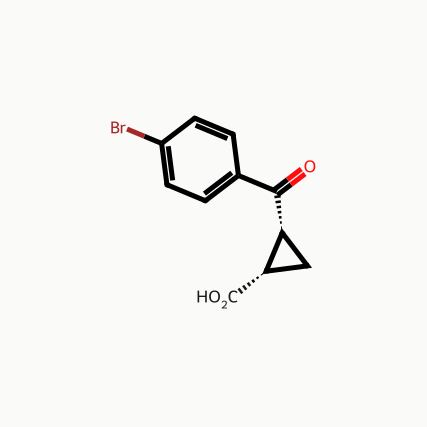 O=C(O)[C@H]1C[C@H]1C(=O)c1ccc(Br)cc1